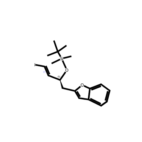 CC(C)(C)[Si](C)(C)O[C@H](/C=C/I)Cc1cc2ccccc2o1